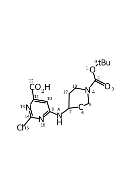 CC(C)(C)OC(=O)N1CCC(Nc2cc(C(=O)O)nc(Cl)n2)CC1